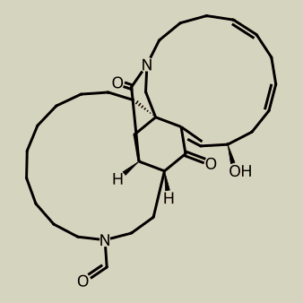 O=CN1CCCCCCCCCC[C@@]23C[C@@H]4C(=O)N(CCC/C=C\C/C=C\C[C@@H](O)/C=C/2C(=O)[C@@H]4CC1)C3